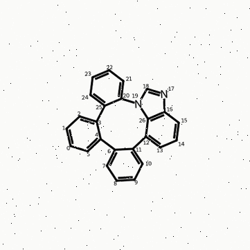 c1ccc2c(c1)c1ccccc1c1cccc3ncn(c4ccccc24)c31